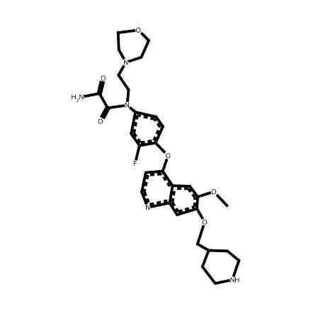 COc1cc2c(Oc3ccc(N(CCN4CCOCC4)C(=O)C(N)=O)cc3F)ccnc2cc1OCC1CCNCC1